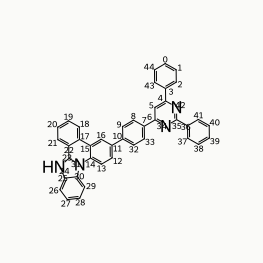 c1ccc(-c2cc(-c3ccc(-c4ccc5c(c4)-c4ccccc4C4Nc6ccccc6N54)cc3)nc(-c3ccccc3)n2)cc1